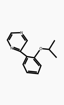 CC(C)Oc1ccccc1-c1cnccn1